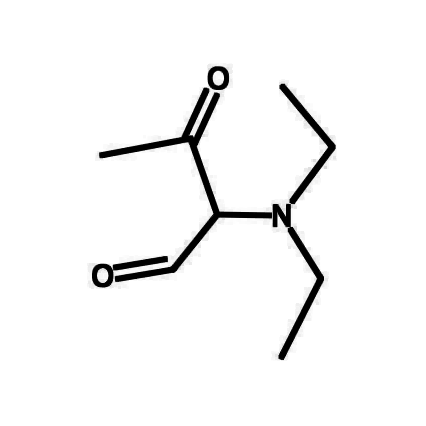 CCN(CC)C(C=O)C(C)=O